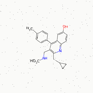 Cc1ccc(-c2c(CNC(=O)O)c(CC3CC3)nc3ccc(O)cc23)cc1